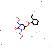 C=Cc1ccccc1C(=O)OC1CN(COC)C(=O)N(COC)C1